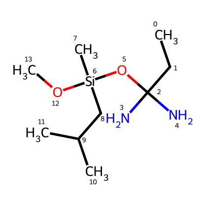 CCC(N)(N)O[Si](C)(CC(C)C)OC